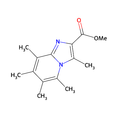 COC(=O)c1nc2c(C)c(C)c(C)c(C)n2c1C